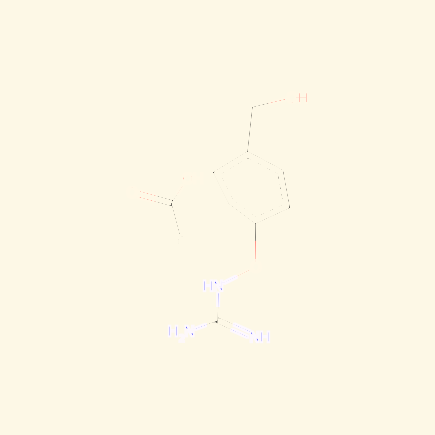 CC(=O)O.N=C(N)NOc1ccc(CO)cc1